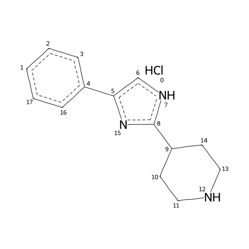 Cl.c1ccc(-c2c[nH]c(C3CCNCC3)n2)cc1